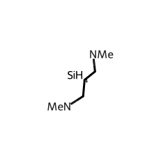 CNCCCNC.[SiH4]